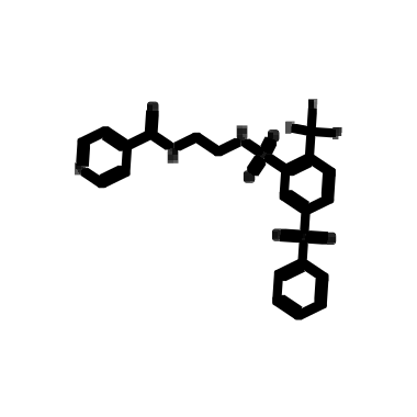 O=C(NCCNS(=O)(=O)c1cc(S(=O)(=O)c2ccccc2)ccc1C(F)(F)F)c1ccncc1